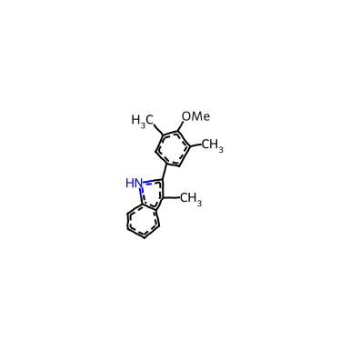 COc1c(C)cc(-c2[nH]c3ccccc3c2C)cc1C